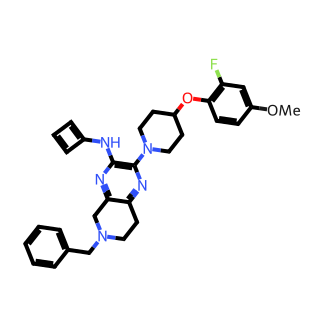 COc1ccc(OC2CCN(c3nc4c(nc3NC3=CC=C3)CN(Cc3ccccc3)CC4)CC2)c(F)c1